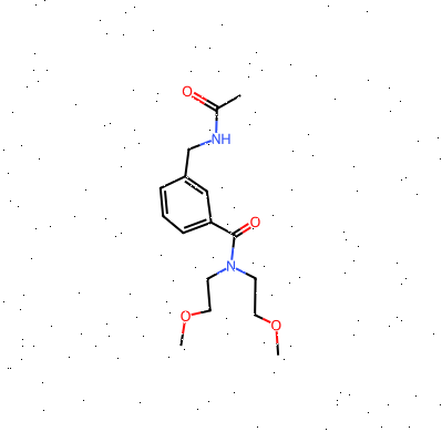 COCCN(CCOC)C(=O)c1cccc(CNC(C)=O)c1